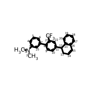 CN(C)c1cccc(-c2ccc(C3CC=Cc4ccccc43)cc2C(F)(F)F)c1